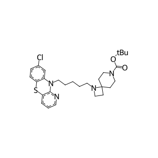 CC(C)(C)OC(=O)N1CCC2(CC1)CCN2CCCCCN1c2cc(Cl)ccc2Sc2cccnc21